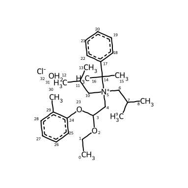 CCOC(C[N+](CC(C)C)(CC(C)C)C(C)(C)c1ccccc1)Oc1ccccc1C.O.[Cl-]